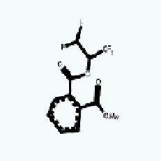 COC(=O)c1ccccc1C(=O)OC(C(F)F)C(F)(F)F